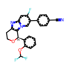 N#Cc1ccc(-c2cn3c4c(nc3cc2F)CCO[C@@H]4c2ccccc2OC(F)F)cc1